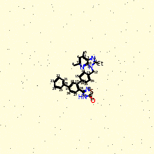 CCc1nc2c(C)cc(C)nc2n1Cc1ccc(-c2cc(-c3ccccc3)ccc2-c2nsc(=O)[nH]2)cc1